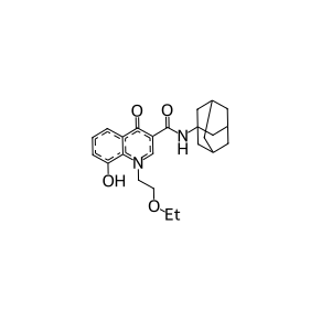 CCOCCn1cc(C(=O)NC23CC4CC(CC(C4)C2)C3)c(=O)c2cccc(O)c21